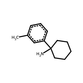 Cc1cccc(C2(N)CCCCC2)c1